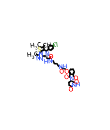 Cc1sc2c(c1C)C(c1ccc(Cl)cc1)=N[C@@H](CC(=O)NCCCCNC(=O)COc1cccc3c1C(=O)N(C1CCC(=O)NC1=O)C3=O)c1nnc(C)n1-2